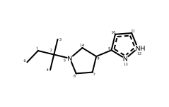 CCC(C)(C)N1CCC(c2cc[nH]n2)C1